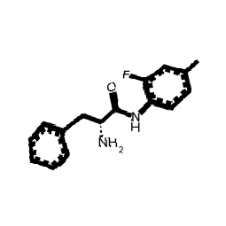 Cc1ccc(NC(=O)[C@H](N)Cc2ccccc2)c(F)c1